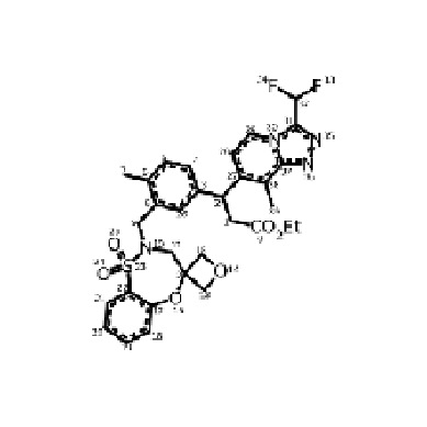 CCOC(=O)CC(c1ccc(C)c(CN2CC3(COC3)Oc3ccccc3S2(=O)=O)c1)c1ccn2c(C(F)F)nnc2c1C